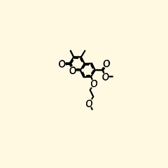 COCCOc1cc2oc(=O)c(C)c(C)c2cc1C(=O)OC